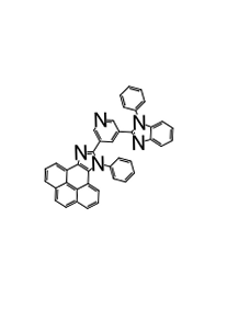 c1ccc(-n2c(-c3cncc(-c4nc5c6cccc7ccc8cccc(c8c76)c5n4-c4ccccc4)c3)nc3ccccc32)cc1